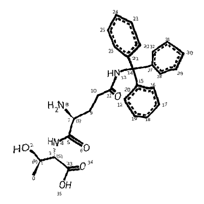 C[C@@H](O)[C@H](NC(=O)[C@@H](N)CCC(=O)NC(c1ccccc1)(c1ccccc1)c1ccccc1)C(=O)O